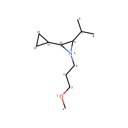 COCCCN1C(C(C)C)C1C1CC1